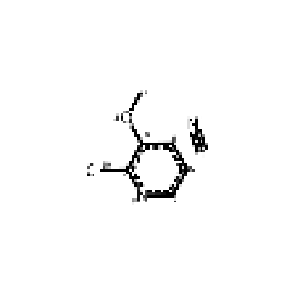 C#N.COc1cccnc1Cl